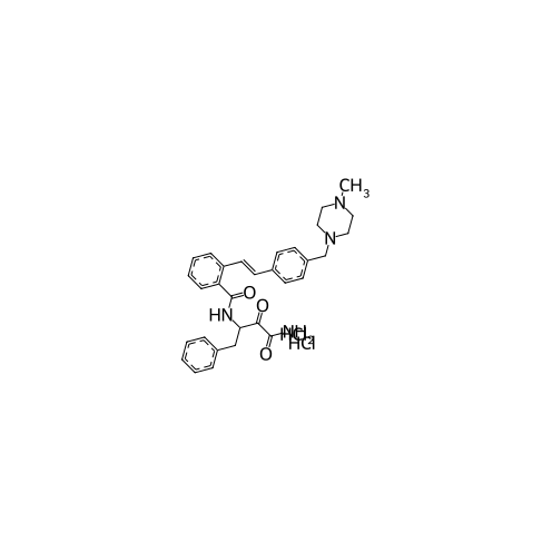 CN1CCN(Cc2ccc(C=Cc3ccccc3C(=O)NC(Cc3ccccc3)C(=O)C(N)=O)cc2)CC1.Cl.Cl